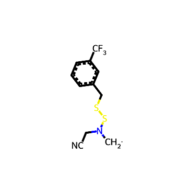 [CH2]N(CC#N)SSCc1cccc(C(F)(F)F)c1